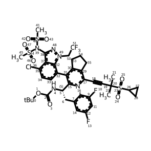 CC(C)(C)OC(=O)N[C@@H](Cc1cc(F)cc(F)c1)c1nc(C#CC(C)(C)S(=O)(=O)C2CC2)c2c(c1-c1ccc(Cl)c3c(N(S(C)(=O)=O)S(C)(=O)=O)nn(CC(F)(F)F)c13)CCC2